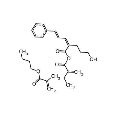 C=C(C)C(=O)OCCCC.C=C(CC)C(=O)OC(=O)C(=CC=Cc1ccccc1)CCCO